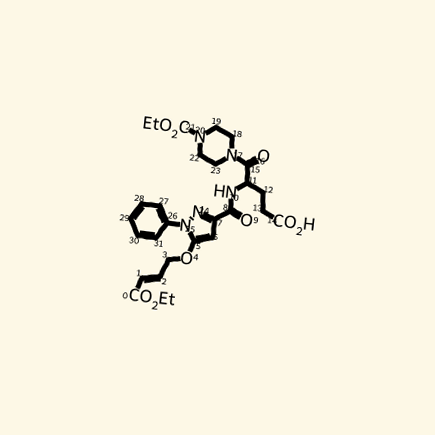 CCOC(=O)C=CCOc1cc(C(=O)NC(CCC(=O)O)C(=O)N2CCN(C(=O)OCC)CC2)nn1-c1ccccc1